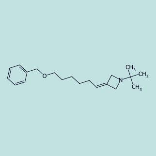 CC(C)(C)N1CC(=CCCCCCOCc2ccccc2)C1